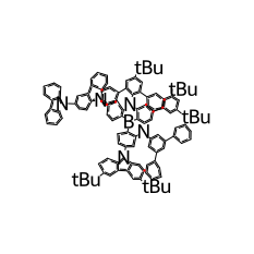 CC(C)(C)c1cc(-c2cc3c4c(c2)N(c2c(-c5ccccc5)cc(C(C)(C)C)cc2-c2ccccc2)c2cc(-n5c6ccccc6c6cc(-n7c8ccccc8c8ccccc87)ccc65)ccc2B4c2ccc(-n4c5ccc(C(C)(C)C)cc5c5cc(C(C)(C)C)ccc54)cc2N3c2cc(-c3ccccc3)cc(-c3ccccc3)c2)cc(C(C)(C)C)c1